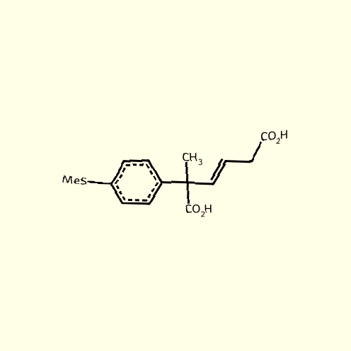 CSc1ccc(C(C)(/C=C/CC(=O)O)C(=O)O)cc1